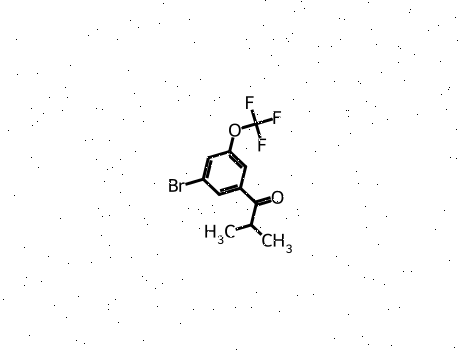 CC(C)C(=O)c1cc(Br)cc(OC(F)(F)F)c1